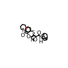 O=C(NC1C2CC3CC(C2)C1C3)c1onc(OCC(=O)N2CCCCC2)c1Sc1ccccc1